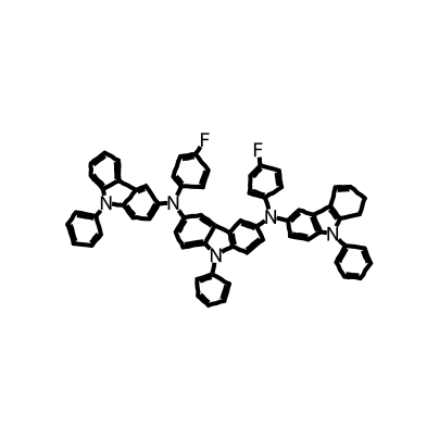 Fc1ccc(N(c2ccc3c(c2)c2c(n3-c3ccccc3)CCC=C2)c2ccc3c(c2)c2cc(N(c4ccc(F)cc4)c4ccc5c(c4)c4ccccc4n5-c4ccccc4)ccc2n3-c2ccccc2)cc1